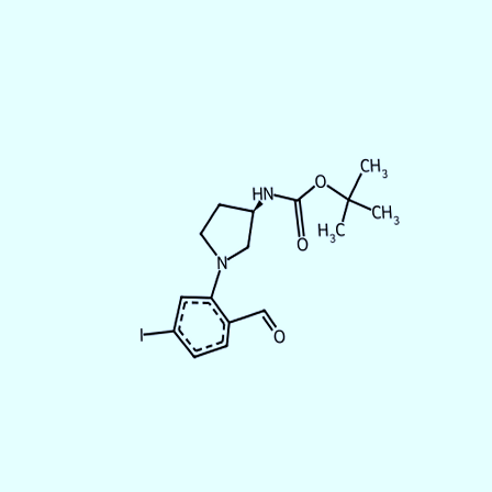 CC(C)(C)OC(=O)N[C@@H]1CCN(c2cc(I)ccc2C=O)C1